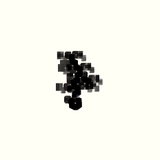 CO[C@@H]([C@@H](C)[C@@H](CC[C@H](C)[C@H](C[C@H](O)C(C)C)OC)OC(=O)C(C)C)[C@H](C)/C=C/N1CCCCC1=O